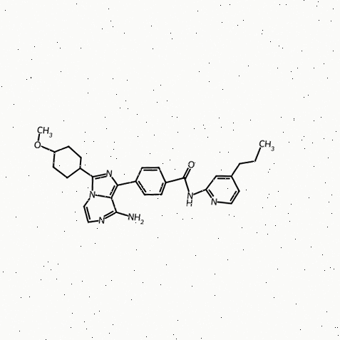 CCCc1ccnc(NC(=O)c2ccc(-c3nc(C4CCC(OC)CC4)n4ccnc(N)c34)cc2)c1